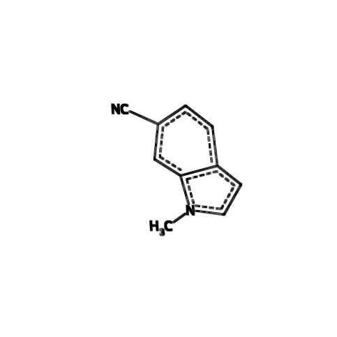 Cn1ccc2ccc(C#N)cc21